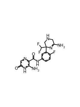 NC1=NC(c2cc(NC(=O)c3ncc(=O)[nH]c3N)ccc2F)(C(F)F)CNC1